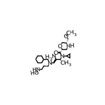 COC[C@H]1CO[C@@H](C(=O)N(C2CC2)[C@H](C)/C(N)=C/N(CCCNO)CC2CCCCC2)CN1